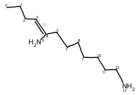 CCC/C=C(\N)CCCCCCCN